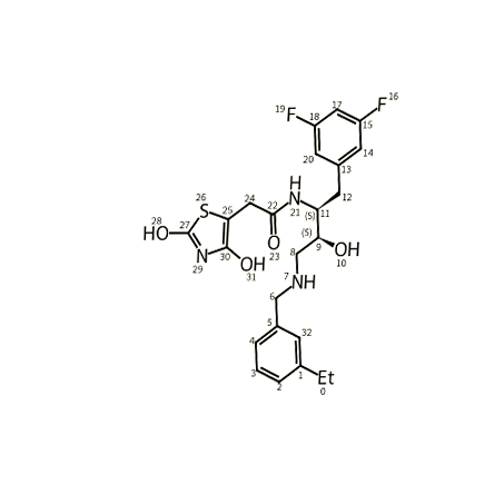 CCc1cccc(CNC[C@H](O)[C@H](Cc2cc(F)cc(F)c2)NC(=O)Cc2sc(O)nc2O)c1